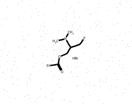 Br.CCC(=O)OCC(CF)N(C)C